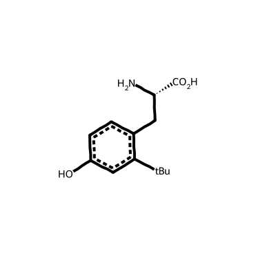 CC(C)(C)c1cc(O)ccc1C[C@H](N)C(=O)O